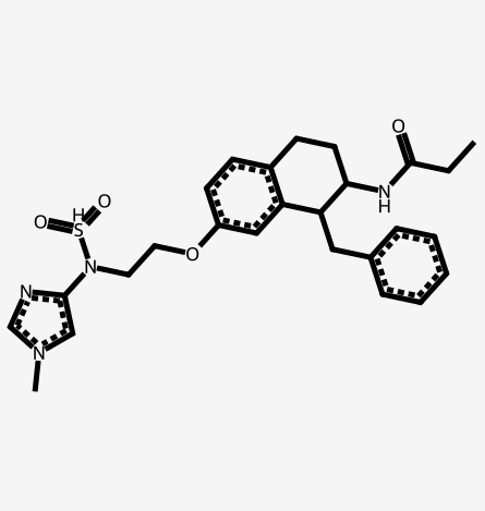 CCC(=O)NC1CCc2ccc(OCCN(c3cn(C)cn3)[SH](=O)=O)cc2C1Cc1ccccc1